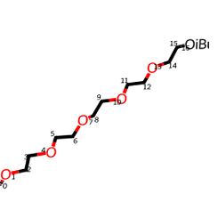 CCCOCCOCCOCCOCCOCCOCC(C)C